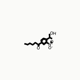 CCCCCC(=O)c1ccc(C(C)CO)c([N+](=O)[O-])c1